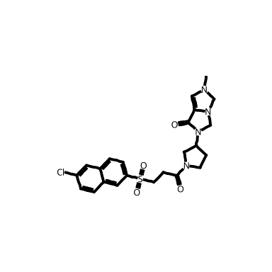 CN1C=C2C(=O)N(C3CCN(C(=O)CCS(=O)(=O)c4ccc5cc(Cl)ccc5c4)C3)CN2C1